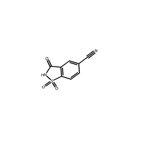 N#Cc1ccc2c(c1)C(=O)NS2(=O)=O